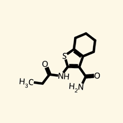 CCC(=O)Nc1sc2c(c1C(N)=O)CCCC2